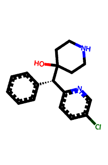 OC1([C@@H](c2ccccc2)c2ccc(Cl)cn2)CCNCC1